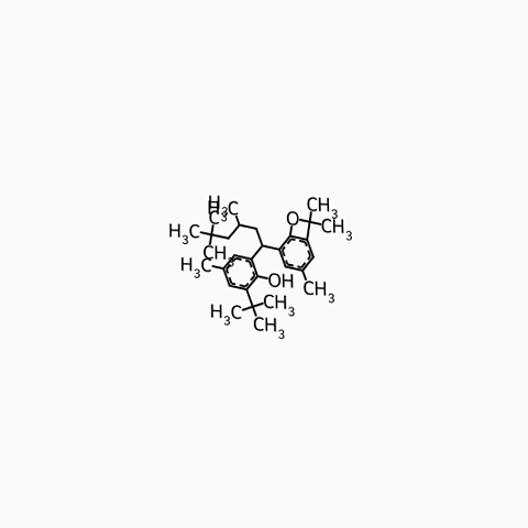 Cc1cc(C(CC(C)CC(C)(C)C)c2cc(C)cc3c2OC3(C)C)c(O)c(C(C)(C)C)c1